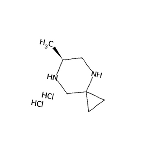 C[C@H]1CNC2(CC2)CN1.Cl.Cl